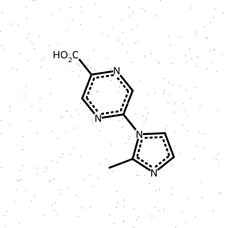 Cc1nccn1-c1cnc(C(=O)O)cn1